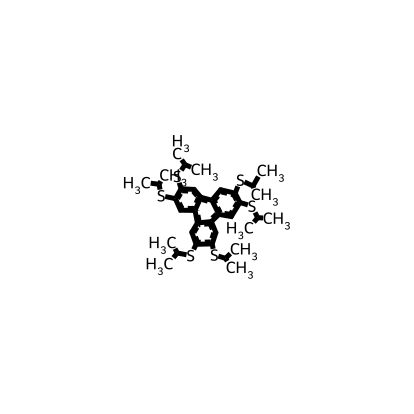 CC(C)Sc1cc2c3cc(SC(C)C)c(SC(C)C)cc3c3cc(SC(C)C)c(SC(C)C)cc3c2cc1SC(C)C